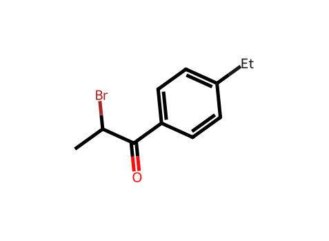 CCc1ccc(C(=O)C(C)Br)cc1